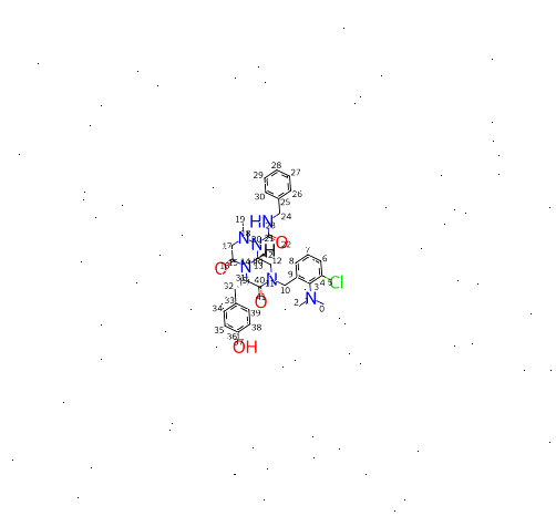 CN(C)c1c(Cl)cccc1CN1C[C@@H]2N(C(=O)CN(C)N2C(=O)NCc2ccccc2)[C@@H](Cc2ccc(O)cc2)C1=O